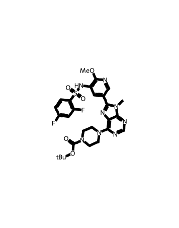 COc1ncc(-c2nc3c(N4CCN(C(=O)OC(C)(C)C)CC4)ncnc3n2C)cc1NS(=O)(=O)c1ccc(F)cc1F